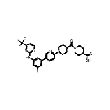 Cc1cc(Nc2nccc(C(F)(F)F)n2)cc(-c2ccc(N3CCC(C(=O)N4CCC(C(=O)O)CC4)CC3)nc2)c1